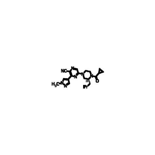 CC(C)C[C@@H]1CN(c2cnc(C#N)c(-c3cnn(C)c3)n2)CCN1C(=O)C1CC1